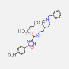 O=C(NCCC1CCN(Cc2ccccc2)CC1)c1noc(-c2ccc([N+](=O)[O-])cc2)n1.O=C(O)C=CC(=O)O